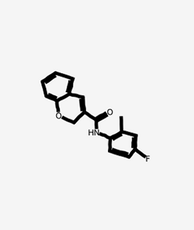 Cc1cc(F)ccc1NC(=O)C1=Cc2ccccc2OC1